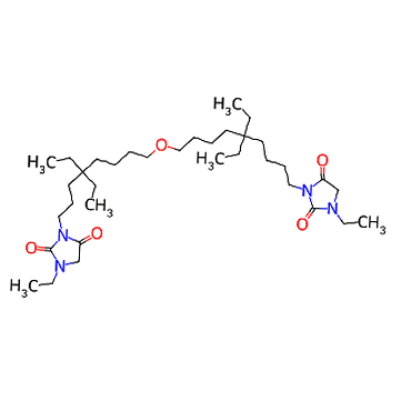 CCN1CC(=O)N(CCCCC(CC)(CC)CCCCOCCCCC(CC)(CC)CCCN2C(=O)CN(CC)C2=O)C1=O